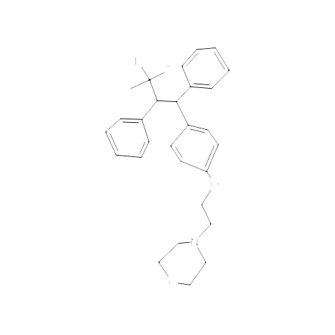 FC(F)(F)C(c1ccccc1)C(c1ccccc1)c1ccc(OCCN2CCOCC2)cc1